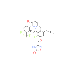 CCc1cc(OCc2noc(=O)[nH]2)c(F)c(C)c1Cc1ccc(O)c(-c2ccc(F)c(C(F)(F)F)c2)n1